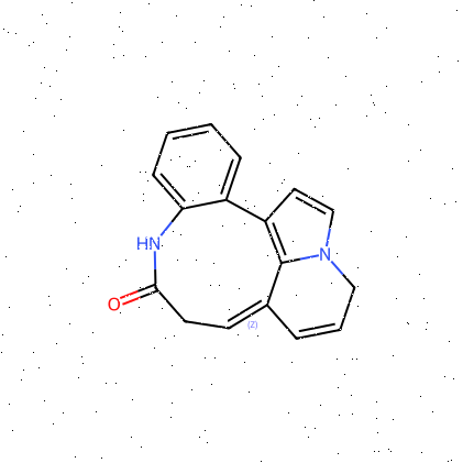 O=C1C/C=C2/C=CCn3ccc(c32)-c2ccccc2N1